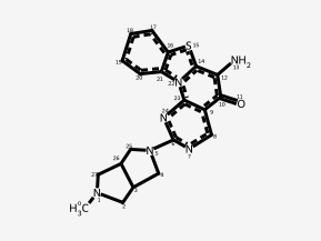 CN1CC2CN(c3ncc4c(=O)c(N)c5sc6ccccc6n5c4n3)CC2C1